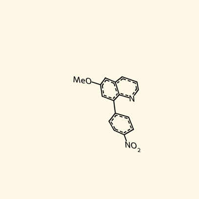 COc1cc(-c2ccc([N+](=O)[O-])cc2)c2ncccc2c1